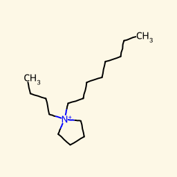 CCCCCCCC[N+]1(CCCC)CCCC1